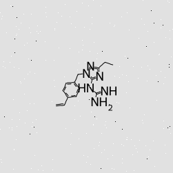 C=Cc1ccc(Cn2nc(CC)nc2NC(=N)N)cc1